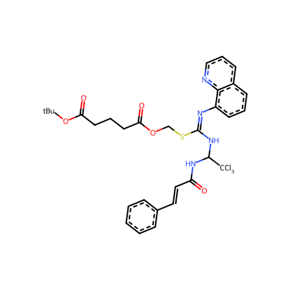 CC(C)(C)OC(=O)CCCC(=O)OCS/C(=N/c1cccc2cccnc12)NC(NC(=O)/C=C/c1ccccc1)C(Cl)(Cl)Cl